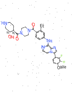 CCc1cc(Nc2nccn3c(-c4ccc(OC)c(F)c4F)cnc23)ccc1C(=O)N1CCN(C(=O)[C@@H]2CCNC[C@H]2O)CC1